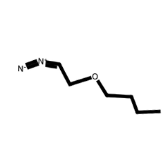 CCCCOCC=[N+]=[N-]